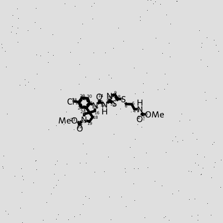 COC(=O)NCCCSc1cnc(NC(=O)N2CC3(CCN(C(=O)OC)C3)c3cc(Cl)ccc32)s1